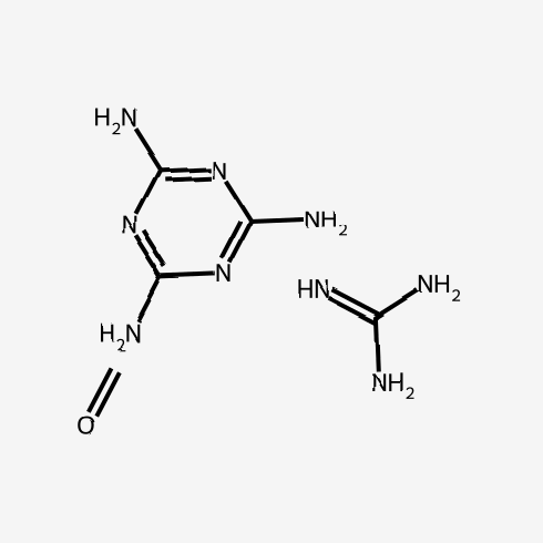 C=O.N=C(N)N.Nc1nc(N)nc(N)n1